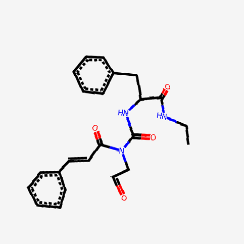 CCNC(=O)C(Cc1ccccc1)NC(=O)N(C[C]=O)C(=O)C=Cc1ccccc1